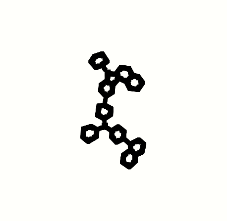 c1ccc(N(c2ccc(-c3ccc4c(c3)c3c5ccccc5ccc3n4-c3ccccc3)cc2)c2ccc(-c3cccc4ccccc34)cc2)cc1